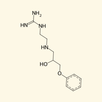 N=C(N)NCCNCC(O)COc1ccccc1